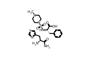 CN1CCN(S(=O)(=O)N[C@@H](Cc2ccccc2)C(=O)O)CC1.NC(=O)[C@@H](N)Cc1cscn1